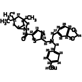 CC1(C)CC2CC(C)(CN2C(=O)c2cnc(CN(Cc3ccc(C(C)(C)C)cc3)Cc3ccc4c(c3)OCO4)s2)C1